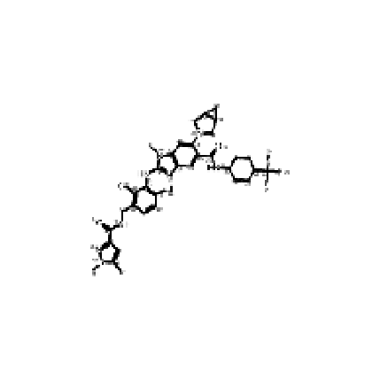 Cc1cc(C(=O)NCc2ccc(Cl)c(Nc3nc4cc(C(=O)NC5CCC(C(F)(F)F)CC5)c(N5CC6CC6C5)cc4n3C)c2Cl)nn1C